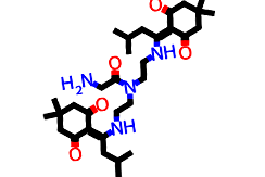 CC(C)CC(NCCN(CCNC(CC(C)C)=C1C(=O)CC(C)(C)CC1=O)C(=O)CN)=C1C(=O)CC(C)(C)CC1=O